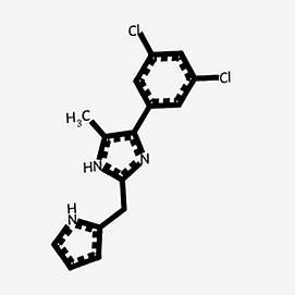 Cc1[nH]c(Cc2ccc[nH]2)nc1-c1cc(Cl)cc(Cl)c1